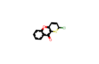 O=c1c2c(oc3ccccc13)C=CC(Cl)S2